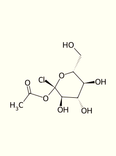 CC(=O)O[C@]1(Cl)O[C@H](CO)[C@@H](O)[C@H](O)[C@H]1O